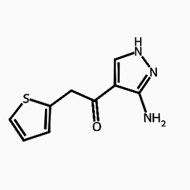 Nc1n[nH]cc1C(=O)Cc1cccs1